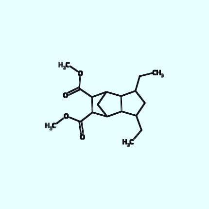 CCC1CC(CC)C2C3CC(C(C(=O)OC)C3C(=O)OC)C12